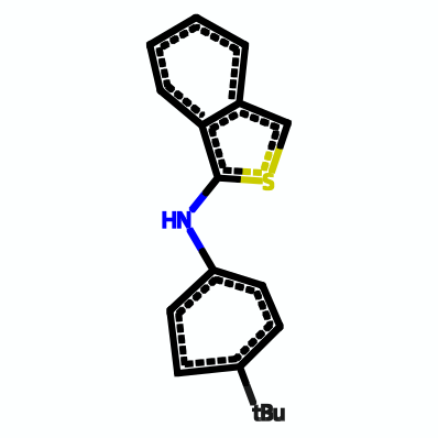 CC(C)(C)c1ccc(Nc2scc3ccccc23)cc1